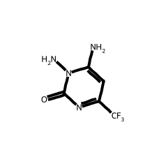 Nc1cc(C(F)(F)F)nc(=O)n1N